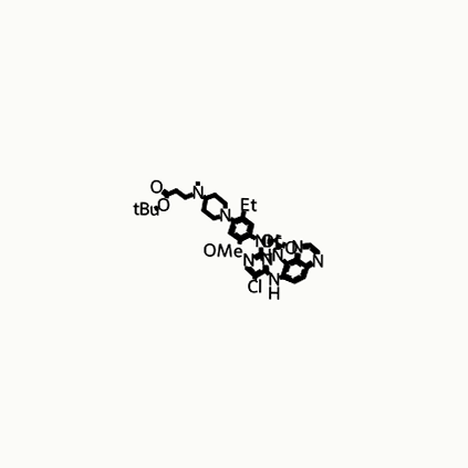 CCc1cc(Nc2ncc(Cl)c(Nc3ccc4nccnc4c3NS(C)(=O)=O)n2)c(OC)cc1N1CCC(N(C)CCC(=O)OC(C)(C)C)CC1